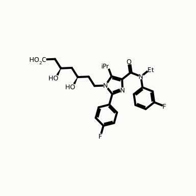 CCN(C(=O)c1nc(-c2ccc(F)cc2)n(CC[C@@H](O)C[C@@H](O)CC(=O)O)c1C(C)C)c1cccc(F)c1